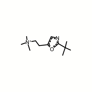 CC(C)(C)c1ncc(CC[N+](C)(C)C)o1